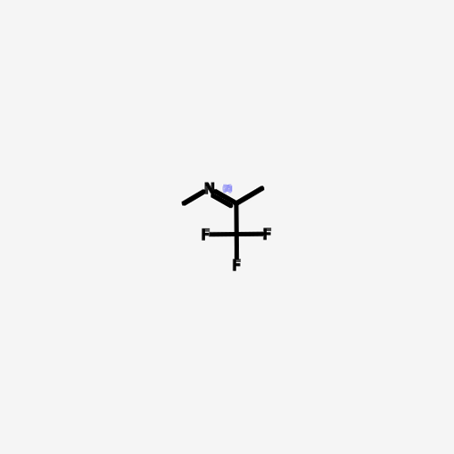 C/N=C(/C)C(F)(F)F